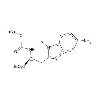 CCOC(=O)[C@H](Cc1nc2cc(N)ccc2n1C)NC(=O)OC(C)(C)C